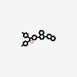 Cc1ccc(-c2oc3cc(-c4ccc(-c5ccc6ccccc6c5)c5ccccc45)ccc3c2-c2ccc(C)cc2)cc1